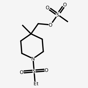 CCS(=O)(=O)N1CCC(C)(COS(C)(=O)=O)CC1